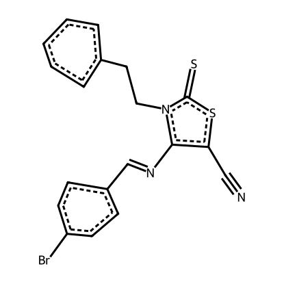 N#Cc1sc(=S)n(CCc2ccccc2)c1N=Cc1ccc(Br)cc1